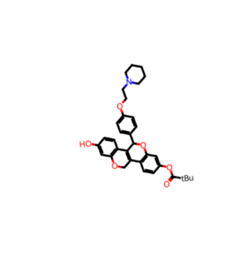 CC(C)(C)C(=O)Oc1ccc2c(c1)OC(c1ccc(OCCN3CCCCC3)cc1)C1=C2COc2cc(O)ccc21